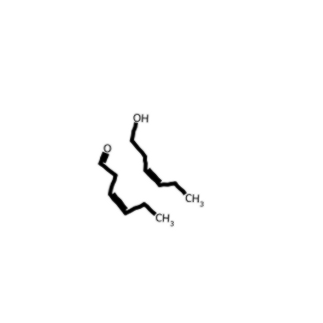 CC/C=C\CC=O.CC/C=C\CCO